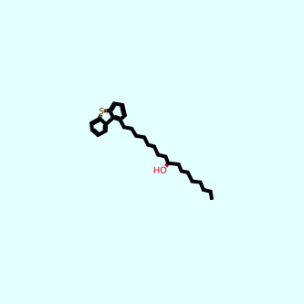 CCCCCCCCC(O)CCCCCCCCc1cccc2sc3ccccc3c12